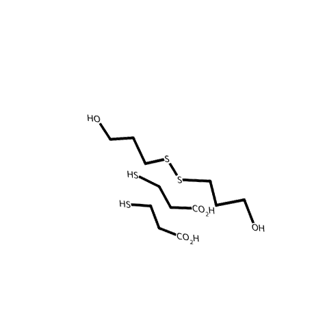 O=C(O)CCS.O=C(O)CCS.OCCCSSCCCO